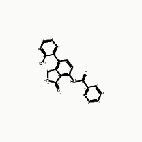 O=C(Nc1ccc(-c2ccccc2Cl)c2c1C(=O)NC2)c1ccccc1